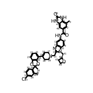 Cc1cc(C(=O)Nc2ccc3c(c2)nc(CN2CC=C(c4cccc5c4OC(C)(c4ccc(Cl)cc4F)O5)CC2)n3C[C@@H]2CCO2)cc2[nH]c(=O)[nH]c12